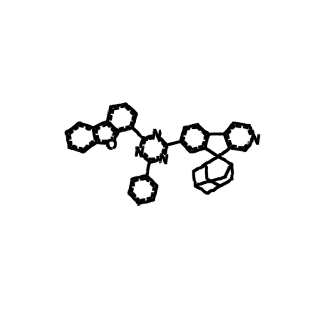 c1ccc(-c2nc(-c3ccc4c(c3)C3(c5cnccc5-4)C4CC5CC(C4)CC3C5)nc(-c3cccc4c3oc3ccccc34)n2)cc1